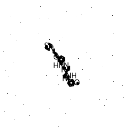 COc1cccc(-c2ncc(-c3ccnc(Nc4cccc(OCCCN5CCSCC5)c4)n3)[nH]2)c1